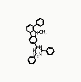 CN1C2=C(c3ccccc3)C=CCC2C2=CC=C(C(=N/Cc3ccccc3)/N=C(\N)c3ccccc3)CC21